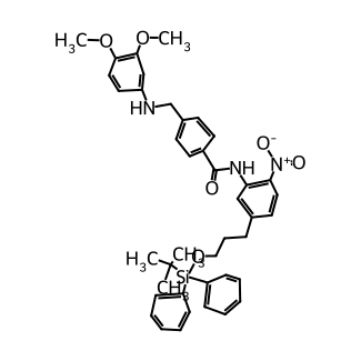 COc1ccc(NCc2ccc(C(=O)Nc3cc(CCCO[Si](c4ccccc4)(c4ccccc4)C(C)(C)C)ccc3[N+](=O)[O-])cc2)cc1OC